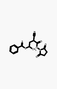 CC(CC(C#N)C(=O)ON1C(=O)CCC1=O)SC(=S)c1ccccc1